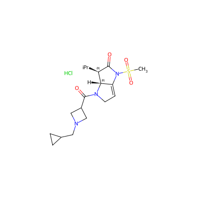 CC(C)[C@H]1C(=O)N(S(C)(=O)=O)C2=CCN(C(=O)C3CN(CC4CC4)C3)[C@@H]21.Cl